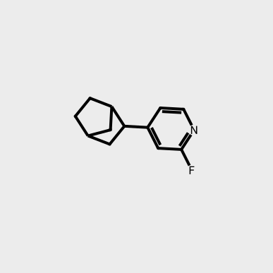 Fc1cc(C2CC3CCC2C3)ccn1